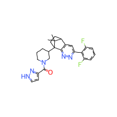 CC1(C)C2CCC1(C1CCCN(C(=O)c3cc[nH]n3)C1)c1nnc(-c3c(F)cccc3F)cc12